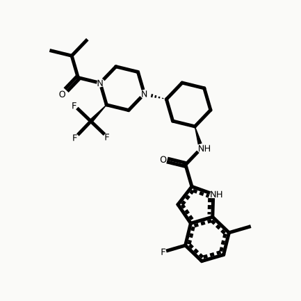 Cc1ccc(F)c2cc(C(=O)N[C@@H]3CCC[C@@H](N4CCN(C(=O)C(C)C)[C@H](C(F)(F)F)C4)C3)[nH]c12